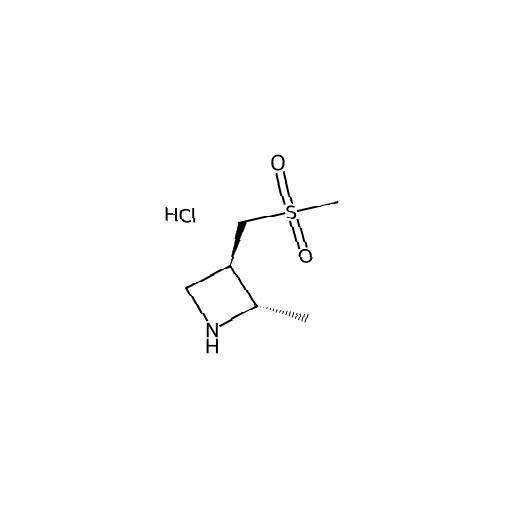 C[C@@H]1NC[C@H]1CS(C)(=O)=O.Cl